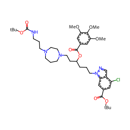 COc1cc(C(=O)OC(CCCn2ncc3c(Cl)cc(C(=O)OC(C)(C)C)cc32)CCN2CCCN(CCCNC(=O)OC(C)(C)C)CC2)cc(OC)c1OC